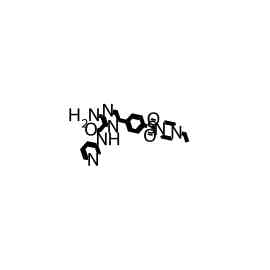 CCN1CCN(S(=O)(=O)c2ccc(-c3cnc(N)c(C(=O)Nc4cccnc4)n3)cc2)CC1